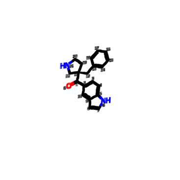 O=C(c1ccc2[nH]ccc2c1)[C@@]1(Cc2ccccc2)CCNC1